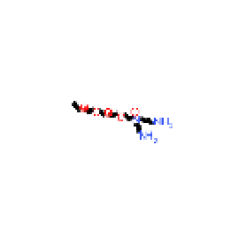 C#CCOCCOCCOCCOCCC(=O)N(CCCN)CCCCN